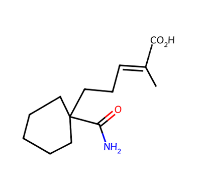 CC(=CCCC1(C(N)=O)CCCCC1)C(=O)O